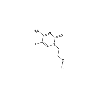 CCOCCn1cc(F)c(N)nc1=O